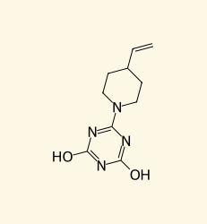 C=CC1CCN(c2nc(O)nc(O)n2)CC1